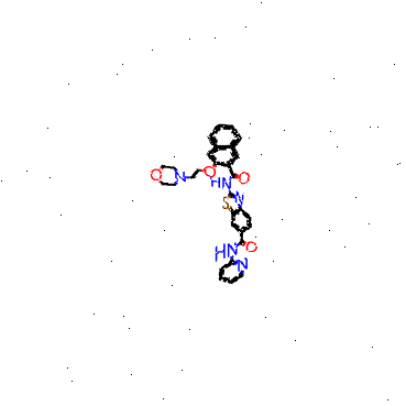 O=C(Nc1ccccn1)c1ccc2nc(NC(=O)c3cc4ccccc4cc3OCCN3CCOCC3)sc2c1